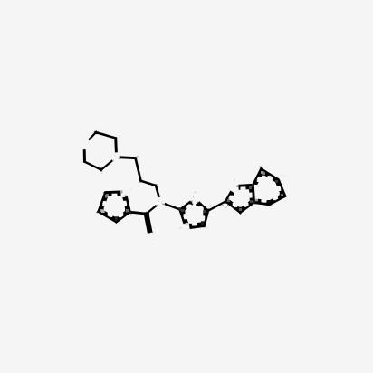 O=C(c1ccco1)N(CCCN1CCOCC1)c1nc(-c2cc3ccccc3o2)cs1